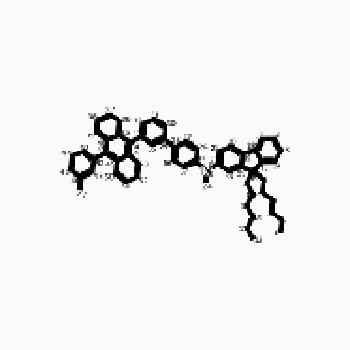 CCCCCCC1(CCCCCC)c2ccccc2-c2ccc(N(C)c3ccc(-c4cccc(-c5c6ccccc6c(-c6cccc(C)c6)c6ccccc56)c4)cc3)cc21